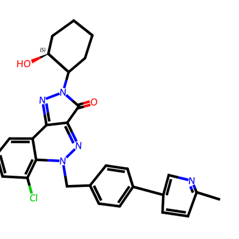 Cc1ccc(-c2ccc(Cn3nc4c(=O)n(C5CCCC[C@@H]5O)nc-4c4cccc(Cl)c43)cc2)cn1